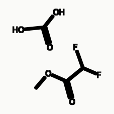 COC(=O)C(F)F.O=C(O)O